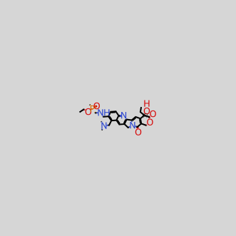 CCOP(C)(=O)CNCc1ccc2nc3c(cc2c1CN(C)C)Cn1c-3cc2c(c1=O)COC(=O)[C@]2(O)CC